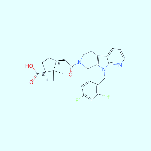 CC1(C)[C@H](CC(=O)N2CCc3c(n(Cc4ccc(F)cc4F)c4ncccc34)C2)CC[C@]1(C)C(=O)O